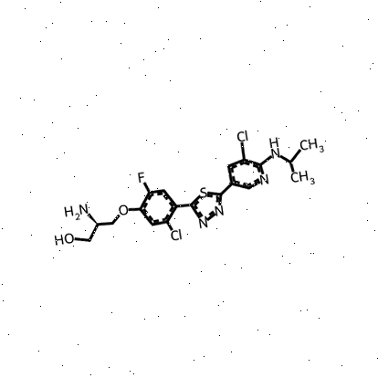 CC(C)Nc1ncc(-c2nnc(-c3cc(F)c(OC[C@H](N)CO)cc3Cl)s2)cc1Cl